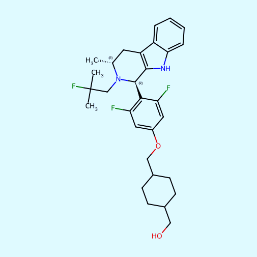 C[C@@H]1Cc2c([nH]c3ccccc23)[C@@H](c2c(F)cc(OCC3CCC(CO)CC3)cc2F)N1CC(C)(C)F